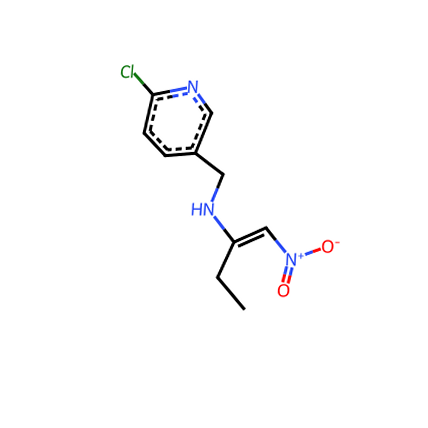 CCC(=C[N+](=O)[O-])NCc1ccc(Cl)nc1